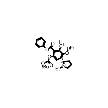 CCCOc1c([C@@H]2CCCN2CC)cc(OC(=O)OC(C)(C)C)c(C(=O)Oc2ccccc2)c1C